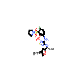 CC(C)c1coc([C@H](Nc2nsnc2Nc2ccc(Cl)c(S(=O)(=O)N3CCCC3)c2O)C(C)(C)C)c1